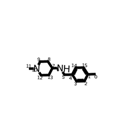 Cc1ccc(CNC2CCN(C)CC2)cc1